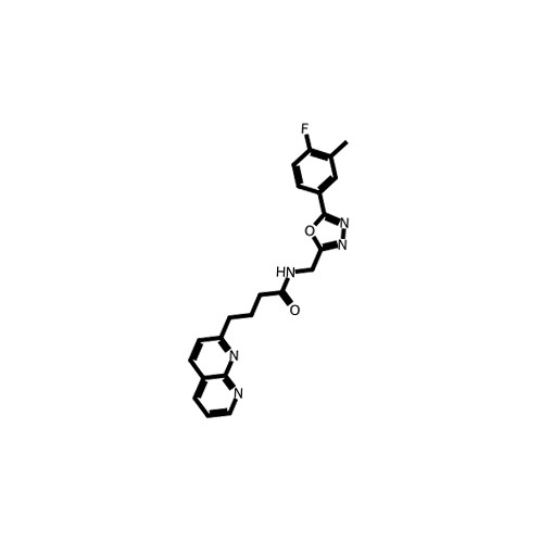 Cc1cc(-c2nnc(CNC(=O)CCCc3ccc4cccnc4n3)o2)ccc1F